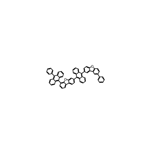 c1ccc(-c2ccc3oc4ccc(-c5c6ccccc6c(-c6ccc7c(c6)oc6c(-c8c9ccccc9c(-c9ccccc9)c9ccccc89)cccc67)c6ccccc56)cc4c3c2)cc1